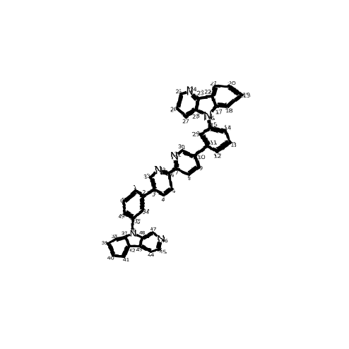 c1cc(-c2ccc(-c3ccc(-c4cccc(-n5c6ccccc6c6ncccc65)c4)cn3)nc2)cc(-n2c3ccccc3c3ccncc32)c1